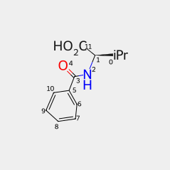 CC(C)[C@@H](NC(=O)c1ccccc1)C(=O)O